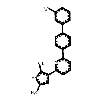 Cc1cc(-c2cccc(-c3ccc(-c4cccc(N)c4)cc3)n2)c(C)[nH]1